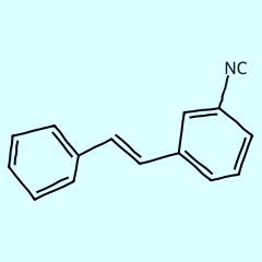 [C-]#[N+]c1cccc(C=Cc2ccccc2)c1